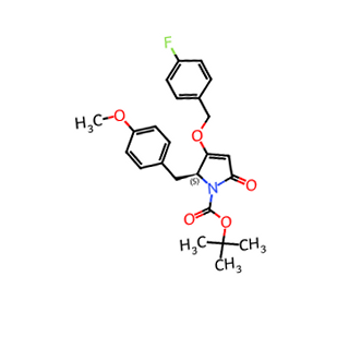 COc1ccc(C[C@H]2C(OCc3ccc(F)cc3)=CC(=O)N2C(=O)OC(C)(C)C)cc1